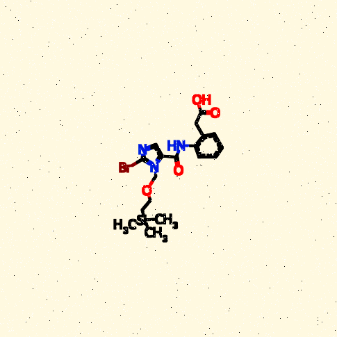 C[Si](C)(C)CCOCn1c(C(=O)Nc2ccccc2CC(=O)O)cnc1Br